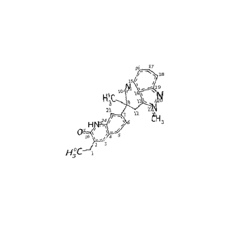 CCc1cc2ccc(C(C)(C#N)Cc3c4ccccc4nn3C)cc2[nH]c1=O